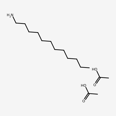 CC(=O)O.CC(=O)O.CCCCCCCCCCCCN